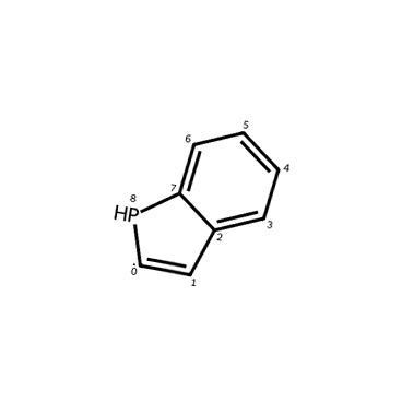 [c]1cc2ccccc2[pH]1